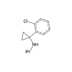 CC(C)NC1(c2ccccc2Cl)CC1